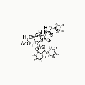 CC(=O)OCC1=C(C(=O)OC(c2ccccc2)c2ccccc2)N2C(=O)C(NC(=O)Cc3cccs3)[C@@H]2S[C@H]1C